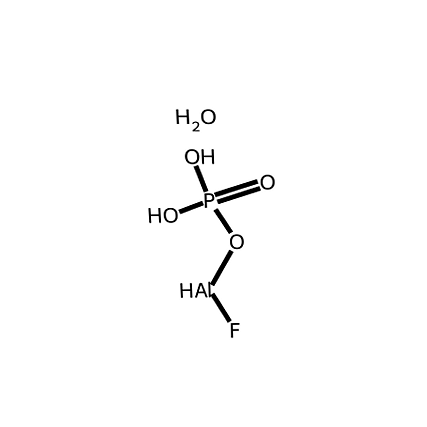 O.O=P(O)(O)[O][AlH][F]